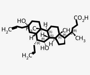 C=CC[C@H]1[C@@H](O)[C@@H]2[C@H](CC[C@]3(C)[C@@H]([C@H](C)CCC(=O)O)CC[C@@H]23)[C@@]2(C)CC[C@](O)(CC=C)C[C@@H]12